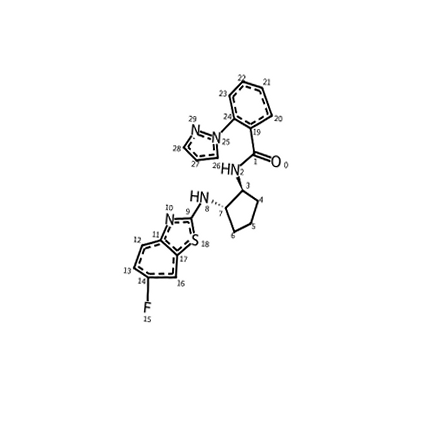 O=C(N[C@H]1CCC[C@@H]1Nc1nc2ccc(F)cc2s1)c1ccccc1-n1cccn1